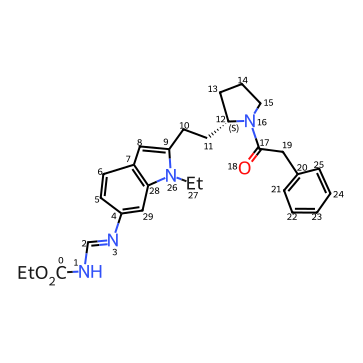 CCOC(=O)NC=Nc1ccc2cc(CC[C@@H]3CCCN3C(=O)Cc3ccccc3)n(CC)c2c1